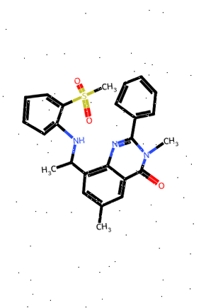 Cc1cc(C(C)Nc2ccccc2S(C)(=O)=O)c2nc(-c3ccccc3)n(C)c(=O)c2c1